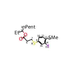 CCCCCC(CC)OC(=O)CCSc1ccc(SC)c(I)c1